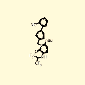 CCCCc1ccc(NC(C(F)(F)F)C(F)(F)F)c(=O)n1Cc1ccc(-c2ccccc2C#N)cc1